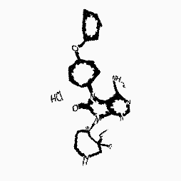 Cl.Nc1ncnc2c1n(-c1ccc(Oc3ccccc3)cc1)c(=O)n2[C@@H]1CCNCC1(F)F